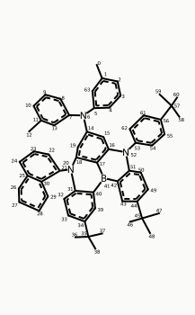 Cc1cccc(N(c2cccc(C)c2)c2cc3c4c(c2)N(c2cccc5ccccc25)c2ccc(C(C)(C)C)cc2B4c2cc(C(C)(C)C)ccc2N3c2ccc(C(C)(C)C)cc2)c1